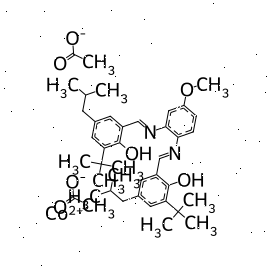 CC(=O)[O-].CC(=O)[O-].COc1ccc(N=Cc2cc(CC(C)C)cc(C(C)(C)C)c2O)c(N=Cc2cc(CC(C)C)cc(C(C)(C)C)c2O)c1.[Co+2]